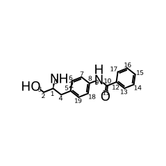 N[C@H](CO)Cc1ccc(NC(=O)c2ccccc2)cc1